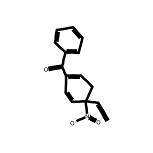 C=CC1([N+](=O)[O-])C=CC(C(=O)c2ccccc2)=CC1